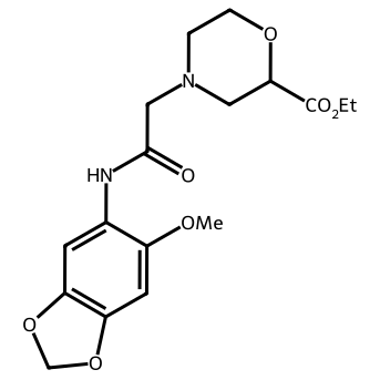 CCOC(=O)C1CN(CC(=O)Nc2cc3c(cc2OC)OCO3)CCO1